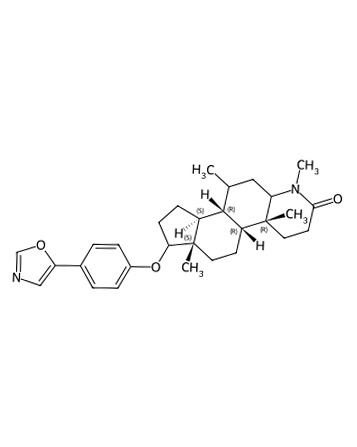 CC1CC2N(C)C(=O)CC[C@]2(C)[C@@H]2CC[C@]3(C)C(Oc4ccc(-c5cnco5)cc4)CC[C@H]3[C@H]12